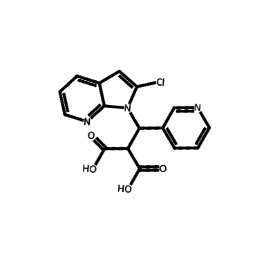 O=C(O)C(C(=O)O)C(c1cccnc1)n1c(Cl)cc2cccnc21